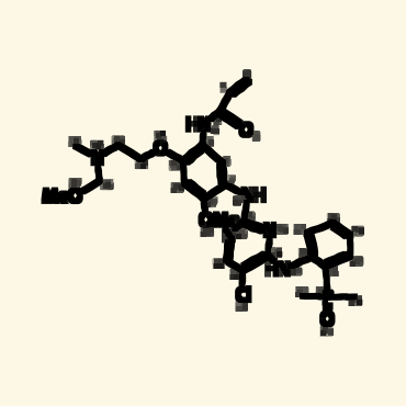 C=CC(=O)Nc1cc(Nc2ncc(Cl)c(Nc3ccccc3P(C)(C)=O)n2)c(OC)cc1OCCN(C)COC